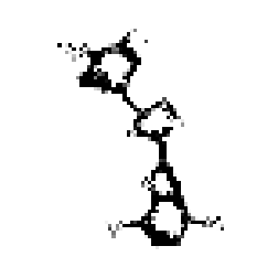 Cc1cc(-c2noc(-c3cc4c(C)ccc(C)c4o3)n2)ccc1C(=O)O